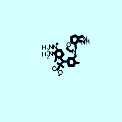 COC(=O)C(C)(C)C(c1ccc(C)c(CN2CCOc3ccc4cn[nH]c4c3C2)c1)c1ccc(N(C)N)c(N)c1C